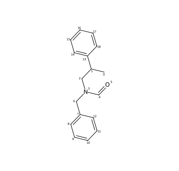 CC(CN(C=O)Cc1ccccc1)c1ccccc1